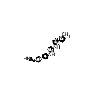 Cc1cccc(-c2nccc(Nc3ccnc(Nc4ccc(N5CCN(CC6CNC6)CC5)cc4)n3)n2)n1